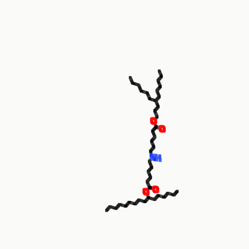 CCCCCCCCCC(CCCCCC)OC(=O)CCCCCNCCCCCC(=O)OCCCC(CCCCCC)CCCCCC